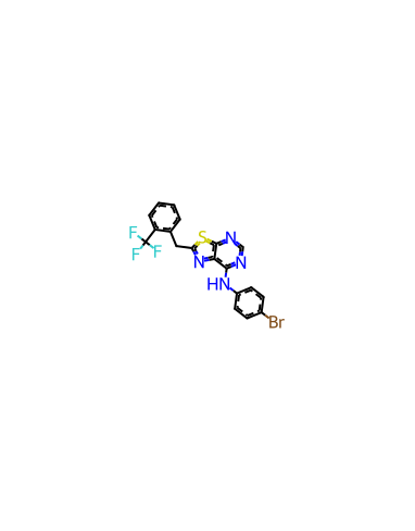 FC(F)(F)c1ccccc1Cc1nc2c(Nc3ccc(Br)cc3)ncnc2s1